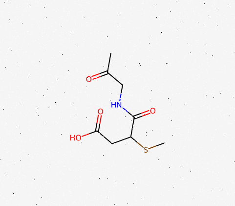 CSC(CC(=O)O)C(=O)NCC(C)=O